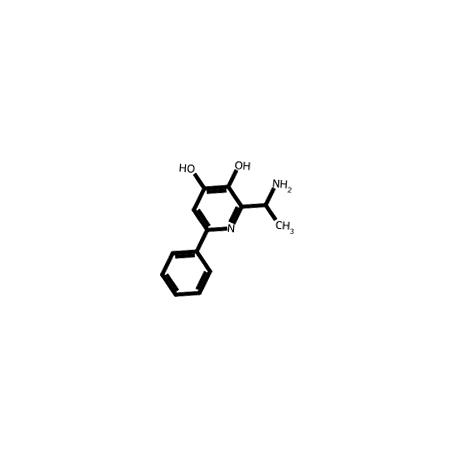 CC(N)c1nc(-c2ccccc2)cc(O)c1O